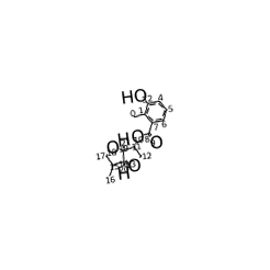 Cc1c(O)cccc1C(=O)O[C@@H]1CO[C@@H]2C(C)CO[C@@H]21